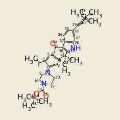 CCc1cc2c(cc1N1CCN(C(=O)OC(C)(C)C)CC1)C(C)(C)c1[nH]c3cc(C#C[Si](C)(C)C)ccc3c1C2=O